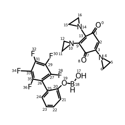 O=C1C=C(N2CC2)C(=O)C(N2CC2)=C1N1CC1.OBOc1ccccc1-c1c(F)c(F)c(F)c(F)c1F